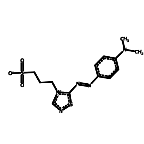 CN(C)c1ccc(/N=N/c2snc[n+]2CCCS(=O)(=O)[O-])cc1